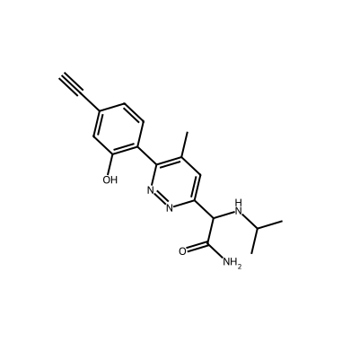 C#Cc1ccc(-c2nnc(C(NC(C)C)C(N)=O)cc2C)c(O)c1